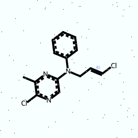 Cc1nc(N(C/C=C/Cl)c2ccccc2)cnc1Cl